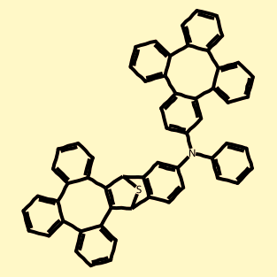 c1ccc(N(c2ccc3c(c2)-c2ccccc2-c2ccccc2-c2ccccc2-3)c2ccc3c(c2)C2SC3C3=C2c2ccccc2-c2ccccc2-c2ccccc23)cc1